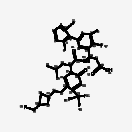 Cc1cc(-c2c(C)cccc2C)cc(C(CC(=O)O)NC(=O)C(CC(C)C)n2cc(CCN3CC(CF)C3)c(C(F)(F)F)cc2=O)c1F